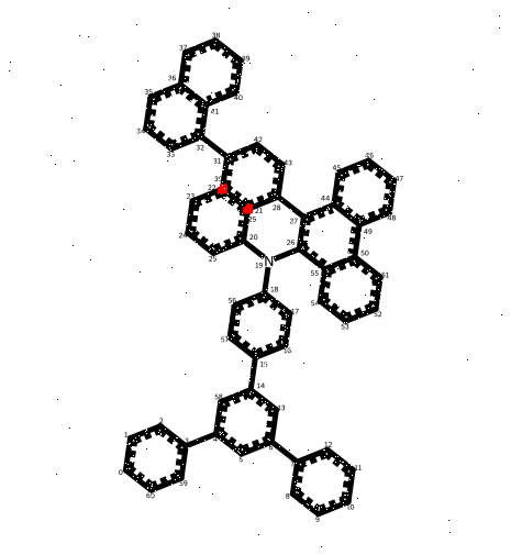 c1ccc(-c2cc(-c3ccccc3)cc(-c3ccc(N(c4ccccc4)c4c(-c5ccc(-c6cccc7ccccc67)cc5)c5ccccc5c5ccccc45)cc3)c2)cc1